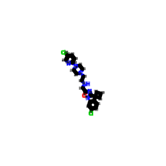 Clc1ccc(C2(c3noc(CNCCN4CCN(c5ccc(Cl)cn5)CC4)n3)CCC2)cc1